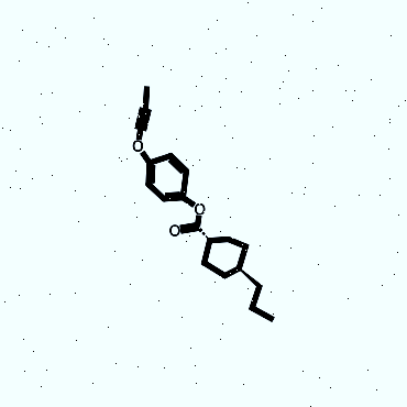 CC#COc1ccc(OC(=O)[C@H]2CC[C@H](CCC)CC2)cc1